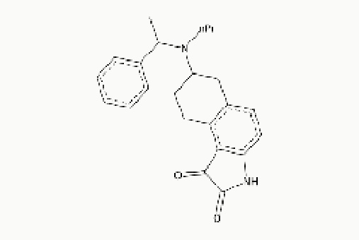 CCCN(C1CCc2c(ccc3c2C(=O)C(=O)N3)C1)C(C)c1ccccc1